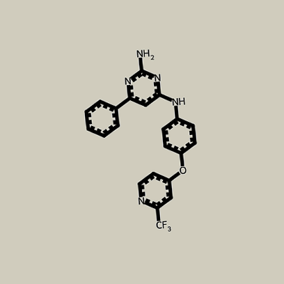 Nc1nc(Nc2ccc(Oc3ccnc(C(F)(F)F)c3)cc2)cc(-c2ccccc2)n1